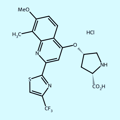 COc1ccc2c(O[C@@H]3CN[C@H](C(=O)O)C3)cc(-c3nc(C(F)(F)F)cs3)nc2c1C.Cl